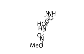 COCC1CN(C(=O)CCCNC[C@H](O)COc2cccc3[nH]nc(C)c23)C1